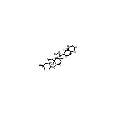 CC12CC=C3C=C4CCC(=O)C[C@]45CCC3(O5)[C@@H]1CCC2c1ccc2ccncc2c1